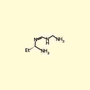 CC[C@@H](N)/N=C\NCN